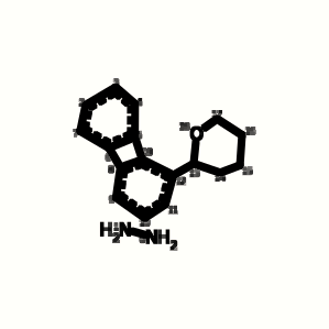 NN.c1ccc2c(c1)-c1cccc(C3CCCCO3)c1-2